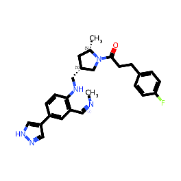 C/N=C\c1cc(-c2cn[nH]c2)ccc1NC[C@@H]1C[C@H](C)N(C(=O)CCc2ccc(F)cc2)C1